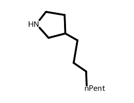 CCCCCCCCC1CCNC1